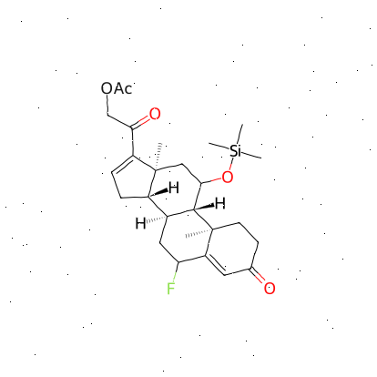 CC(=O)OCC(=O)C1=CC[C@H]2[C@@H]3CC(F)C4=CC(=O)CC[C@]4(C)[C@H]3C(O[Si](C)(C)C)C[C@]12C